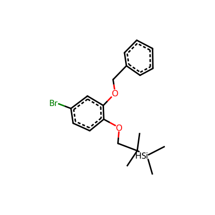 C[SiH](C)C(C)(C)COc1ccc(Br)cc1OCc1ccccc1